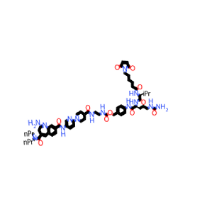 CCCN(CCC)C(=O)C1=Cc2ccc(C(=O)Nc3ccc(N4CCC(C(=O)NCCNC(=O)OCc5ccc(NC(=O)[C@H](CCCNC(N)=O)NC(=O)[C@@H](NC(=O)CCCCCN6C(=O)C=CC6=O)C(C)C)cc5)CC4)nc3)cc2N=C(N)C1